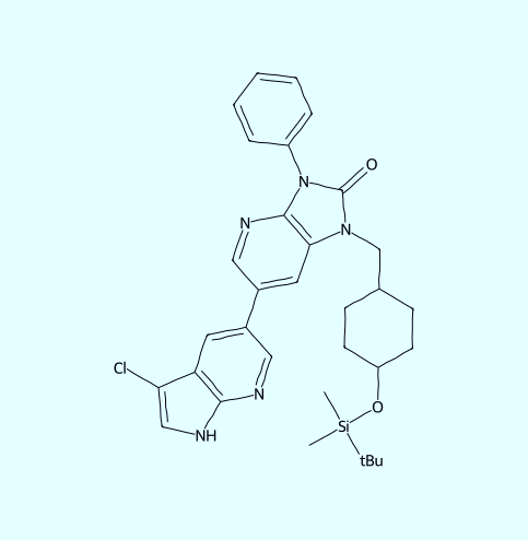 CC(C)(C)[Si](C)(C)OC1CCC(Cn2c(=O)n(-c3ccccc3)c3ncc(-c4cnc5[nH]cc(Cl)c5c4)cc32)CC1